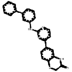 O=C1COc2ccc(-c3ccnc(Nc4cccc(-c5ccccc5)c4)n3)cc2N1